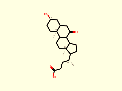 C[C@H](CCC(=O)O)C1CCC2C3C(=O)CC4C[C@H](O)CC[C@]4(C)C3CC[C@@]21C